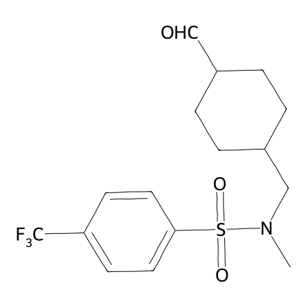 CN(CC1CCC(C=O)CC1)S(=O)(=O)c1ccc(C(F)(F)F)cc1